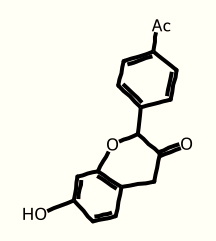 CC(=O)c1ccc(C2Oc3cc(O)ccc3CC2=O)cc1